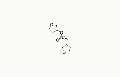 O=[N+](OC1CCOC1)OC1CCOC1